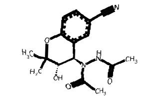 CC(=O)NN(C(C)=O)[C@@H]1c2cc(C#N)ccc2OC(C)(C)[C@H]1O